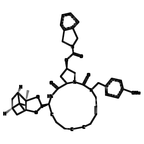 COc1ccc(CN2C/C=C/CCCCCC[C@@H](B3OC4C[C@H]5C[C@H](C5(C)C)[C@@]4(C)O3)NC(=O)C3C[C@@H](OC(=O)N4Cc5ccccc5C4)CN3C2=O)cc1